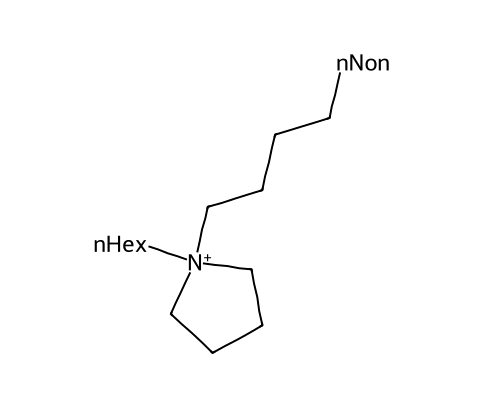 CCCCCCCCCCCCC[N+]1(CCCCCC)CCCC1